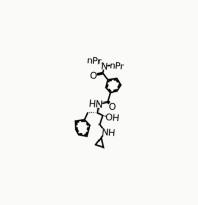 CCCN(CCC)C(=O)c1cccc(C(=O)N[C@@H](Cc2ccccc2)[C@H](O)CNC2CC2)c1